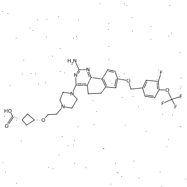 Nc1nc2c(c(N3CCN(CCO[C@H]4C[C@@H](C(=O)O)C4)CC3)n1)CCc1cc(OCc3ccc(OC(F)(F)F)c(F)c3)ccc1-2